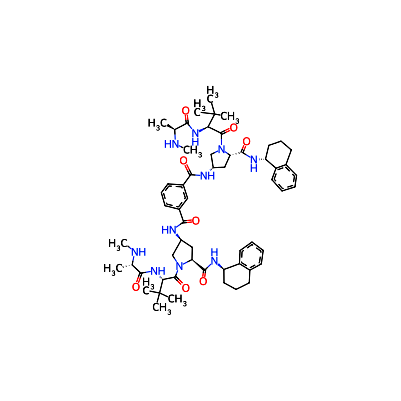 CN[C@@H](C)C(=O)N[C@H](C(=O)N1C[C@@H](NC(=O)c2cccc(C(=O)N[C@H]3C[C@@H](C(=O)N[C@@H]4CCCc5ccccc54)N(C(=O)[C@@H](NC(=O)[C@H](C)NC)C(C)(C)C)C3)c2)C[C@H]1C(=O)N[C@@H]1CCCc2ccccc21)C(C)(C)C